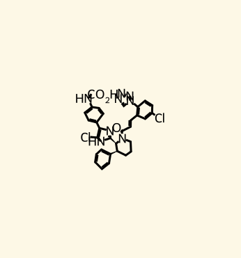 O=C(O)Nc1ccc(-c2nc([C@@H]3[C@H](c4ccccc4)CCCN3C(=O)/C=C/c3cc(Cl)ccc3-n3cnnn3)[nH]c2Cl)cc1